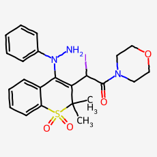 CC1(C)C(C(I)C(=O)N2CCOCC2)=C(N(N)c2ccccc2)c2ccccc2S1(=O)=O